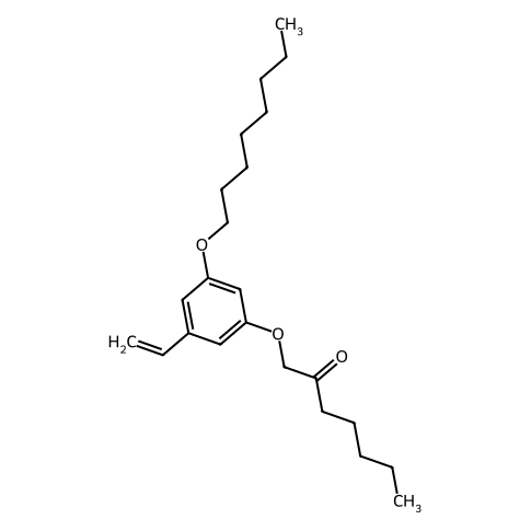 C=Cc1cc(OCCCCCCCC)cc(OCC(=O)CCCCC)c1